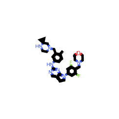 Cc1ccc(Nc2ncc3ccn(-c4cc(F)c(CN5CCOCC5)c(F)c4)c3n2)cc1CN1CCNC2(CC2)C1